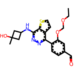 CCOCOc1cc(C=O)ccc1-c1nnc(NC2CC(C)(O)C2)c2sccc12